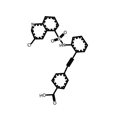 O=C(O)c1ccc(C#Cc2ccccc2NS(=O)(=O)c2cccc3ncc(Cl)cc23)cc1